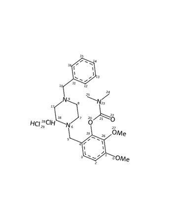 COc1ccc(CN2CCN(Cc3ccccc3)CC2)c(OC(=O)N(C)C)c1OC.Cl.Cl